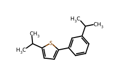 CC(C)c1cccc(-c2ccc(C(C)C)s2)c1